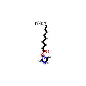 CCCCCCCCCCCCCCCCCC(=O)ON1C=NCC1